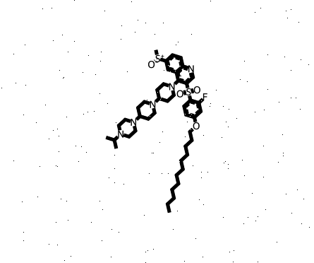 CCCCCCCCCCCCOc1ccc(S(=O)(=O)c2cnc3ccc([S+](C)[O-])cc3c2N2CCC(N3CCC(N4CCN(C(C)C)CC4)CC3)CC2)c(F)c1